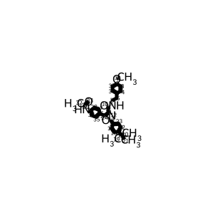 COc1ccc(CCNC(=O)c2nc(-c3ccc(C(C)(C)C)cc3)oc2-c2ccc(NC(C)=O)cc2)cc1